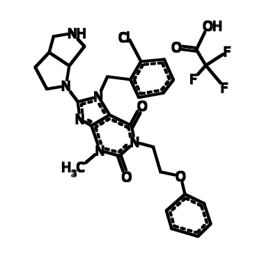 Cn1c(=O)n(CCOc2ccccc2)c(=O)c2c1nc(N1CCC3CNCC31)n2Cc1ccccc1Cl.O=C(O)C(F)(F)F